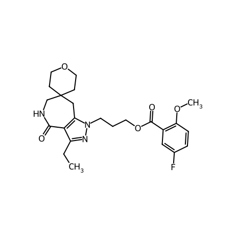 CCc1nn(CCCOC(=O)c2cc(F)ccc2OC)c2c1C(=O)NCC1(CCOCC1)C2